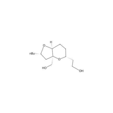 CCCC[C@H]1C[C@]2(CO)O[C@@H](CCO)CC[C@@H]2O1